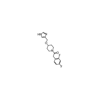 O=C(Cc1ccc(F)cc1F)N1CCC(OCc2c[nH]cn2)CC1